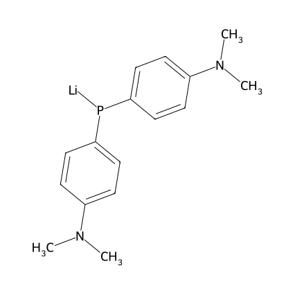 [Li][P](c1ccc(N(C)C)cc1)c1ccc(N(C)C)cc1